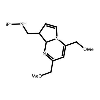 COCC1=CC(COC)=NC2C(CNC(C)C)C=CN12